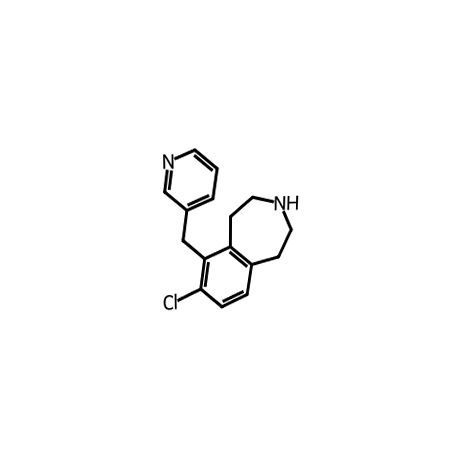 Clc1ccc2c(c1Cc1cccnc1)CCNCC2